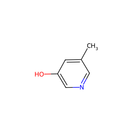 Cc1cncc(O)c1